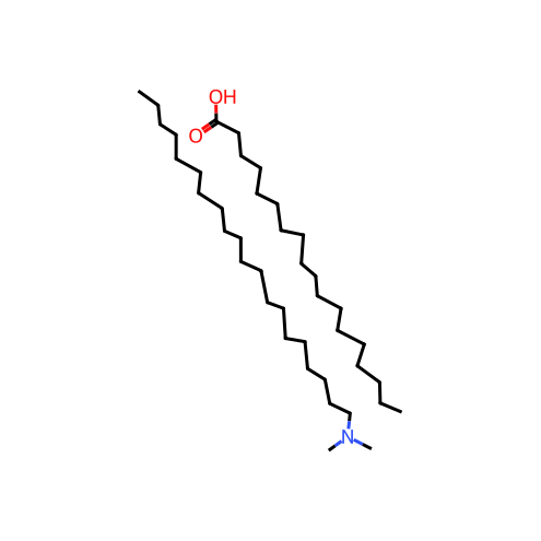 CCCCCCCCCCCCCCCCCC(=O)O.CCCCCCCCCCCCCCCCCCCCN(C)C